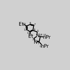 CCCC1=NCN(Cc2ccc(CC)cc2CC)C1CCC